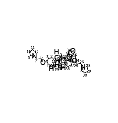 C[C@]12CC[C@H](OCCN3CCCC3)C[C@H]1CC[C@@H]1[C@@H]2CC[C@]2(C)[C@](OCCN3CCCC3)(c3ccoc3)CC[C@]12O